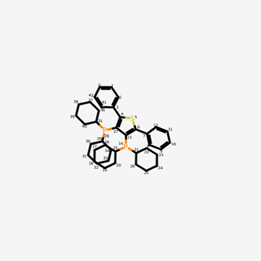 c1ccc(-c2sc(-c3ccccc3)c(P(C3CCCCC3)C3CCCCC3)c2P(C2CCCCC2)C2CCCCC2)cc1